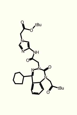 CC(C)(C)OC(=O)Cn1cnc(NC(=O)CN2N=C(C3CCCCC3)c3ccccc3N(CC(=O)C(C)(C)C)C2=O)c1